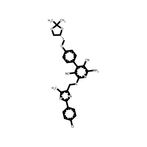 Cc1oc(-c2ccc(Cl)cc2)nc1CSc1nc(N)c(C#N)c(-c2ccc(OC[C@@H]3COC(C)(C)O3)cc2)c1C#N